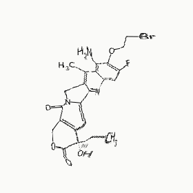 CC[C@@]1(O)C(=O)OCc2c1cc1n(c2=O)Cc2c-1nc1cc(F)c(OCCBr)c(N)c1c2C